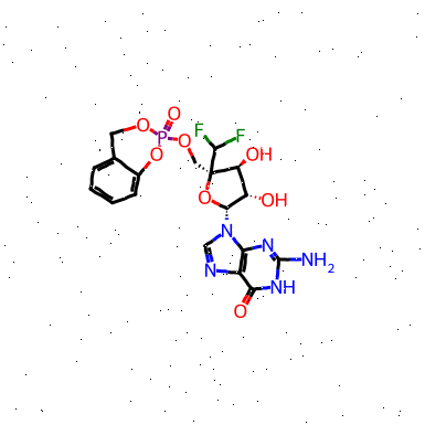 Nc1nc2c(ncn2[C@@H]2O[C@@](COP3(=O)OCc4ccccc4O3)(C(F)F)[C@@H](O)[C@@H]2O)c(=O)[nH]1